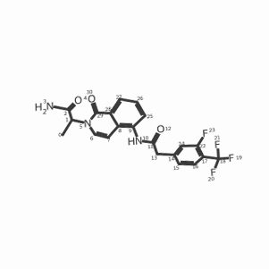 CC(C(N)=O)n1ccc2c(NC(=O)Cc3ccc(C(F)(F)F)c(F)c3)cccc2c1=O